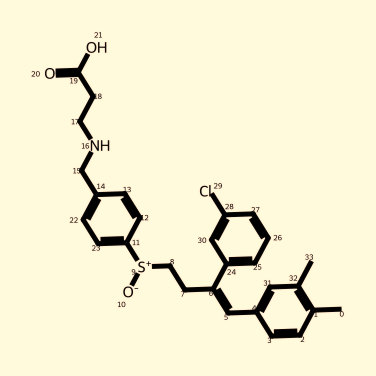 Cc1ccc(/C=C(/CC[S+]([O-])c2ccc(CNCCC(=O)O)cc2)c2cccc(Cl)c2)cc1C